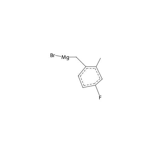 Cc1cc(F)ccc1[CH2][Mg][Br]